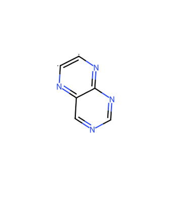 [c]1[c]nc2ncncc2n1